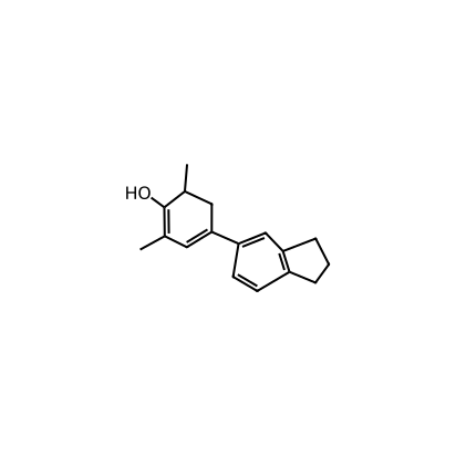 CC1=C(O)C(C)CC(c2ccc3c(c2)CCC3)=C1